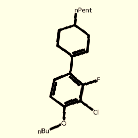 CCCCCC1CC=C(c2ccc(OCCCC)c(Cl)c2F)CC1